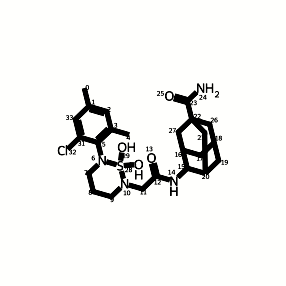 Cc1cc(C)c(N2CCCN(CC(=O)NC3C4CC5CC3CC(C(N)=O)(C5)C4)S2(O)O)c(Cl)c1